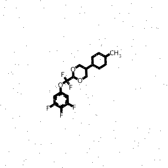 CC1CCC(C2COC(C(F)(F)Oc3cc(F)c(F)c(F)c3)OC2)CC1